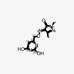 CC1=NN(C)C(=O)C1=NOCc1cc(O)nc(O)n1